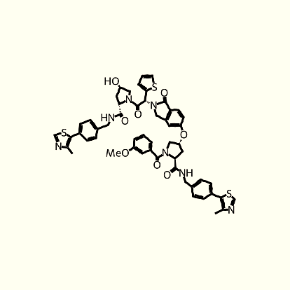 COc1cccc(C(=O)N2C[C@H](Oc3ccc4c(c3)CN([C@H](C(=O)N3C[C@H](O)C[C@H]3C(=O)NCc3ccc(-c5scnc5C)cc3)c3cccs3)C4=O)C[C@H]2C(=O)NCc2ccc(-c3scnc3C)cc2)c1